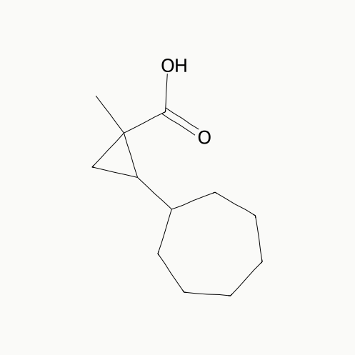 CC1(C(=O)O)CC1C1CCCCCC1